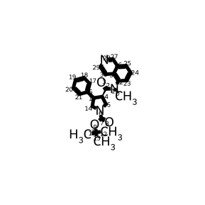 CN(C(=O)[C@H]1CN(C(=O)OC(C)(C)C)CC1c1ccccc1)c1cccc2cnccc12